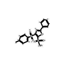 CCCS(=O)(=O)c1oc(-c2ccccc2)nc1S(=O)(=O)c1ccc(C)cc1